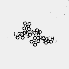 CC1(C)c2ccccc2-c2cccc(-c3cccc(N(c4ccc5c(c4)C4(c6ccccc6-c6cc(-c7cccc8oc9c(N(c%10cccc(-c%11cccc%12c%11C(C)(C)c%11ccccc%11-%12)c%10)c%10ccc%11c(c%10)C%10(c%12ccccc%12-c%12ccccc%12%10)c%10ccccc%10-%11)cccc9c78)ccc64)c4ccccc4-5)c4ccc5c(c4)oc4ccccc45)c3)c21